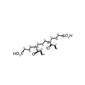 C=CC(=O)N(CCCN(CCCS(=O)(=O)O)C(=O)C=C)CCCS(=O)(=O)O